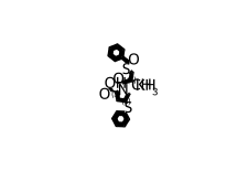 C[C@H](CSC(=O)c1ccccc1)C(=O)N1C[C@@H](Sc2ccccc2)C[C@H]1C(=O)O.[KH]